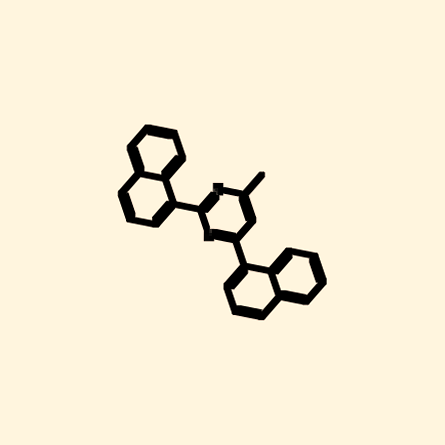 Cc1cc(-c2cccc3ccccc23)nc(-c2cccc3ccccc23)n1